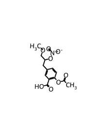 COCC(Cc1ccc(OC(C)=O)c(C(=O)O)c1)O[N+](=O)[O-]